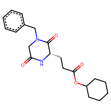 O=C1CN(Cc2ccccc2)C(=O)[C@H](CCC(=O)OC2CCCCC2)N1